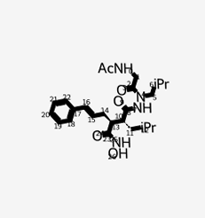 CC(=O)NCC(=O)N(CC(C)C)NC(=O)[C@H](CC(C)C)[C@H](CC=Cc1ccccc1)C(=O)NO